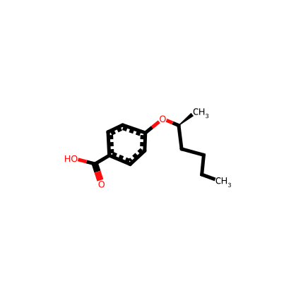 CCCC[C@H](C)Oc1ccc(C(=O)O)cc1